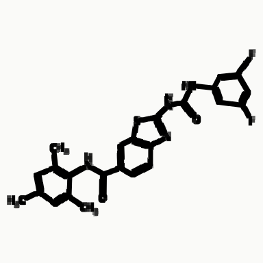 Cc1cc(C)c(NC(=O)c2ccc3nc(NC(=O)Nc4cc(F)cc(F)c4)sc3c2)c(C)c1